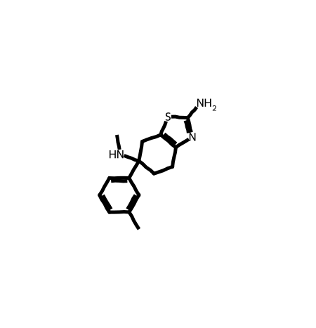 CNC1(c2cccc(C)c2)CCc2nc(N)sc2C1